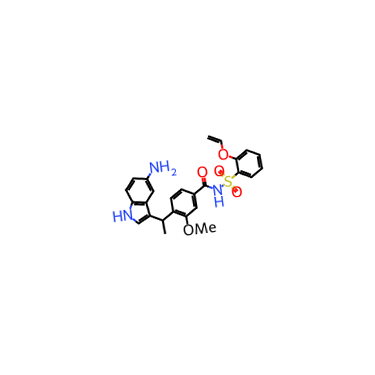 C=COc1ccccc1S(=O)(=O)NC(=O)c1ccc(C(C)c2c[nH]c3ccc(N)cc23)c(OC)c1